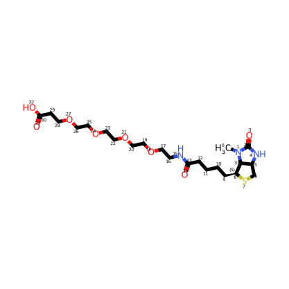 CN1C(=O)NC2CS[C@@H](CCCCC(=O)NCCOCCOCCOCCOCCC(=O)O)C21